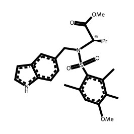 COC(=O)[C@@H](C(C)C)N(Cc1ccc2[nH]ccc2c1)S(=O)(=O)c1c(C)cc(OC)c(C)c1C